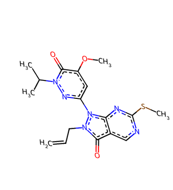 C=CCn1c(=O)c2cnc(SC)nc2n1-c1cc(OC)c(=O)n(C(C)C)n1